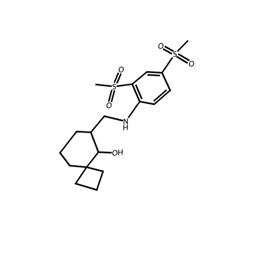 CS(=O)(=O)c1ccc(NCC2CCCC3(CCC3)C2O)c(S(C)(=O)=O)c1